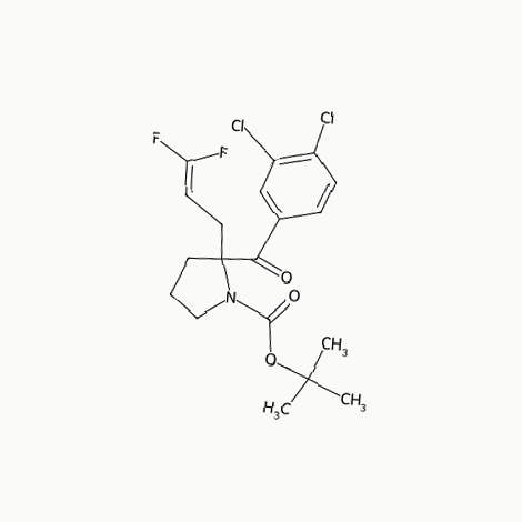 CC(C)(C)OC(=O)N1CCCC1(CC=C(F)F)C(=O)c1ccc(Cl)c(Cl)c1